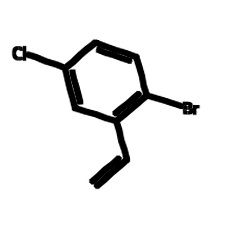 C=Cc1cc(Cl)ccc1Br